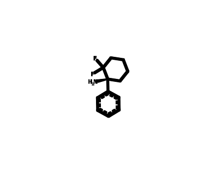 N[C@]1(c2ccccc2)CCCCC1(F)F